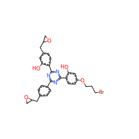 Oc1cc(CC2CO2)ccc1-c1nc(-c2ccc(CC3CO3)cc2)nc(-c2ccc(OCCCBr)cc2O)n1